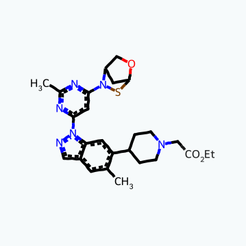 CCOC(=O)CN1CCC(c2cc3c(cnn3-c3cc(N4SC5CC4CO5)nc(C)n3)cc2C)CC1